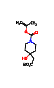 C=C(C)OC(=O)N1CCC(O)(CC(=O)OCC)CC1